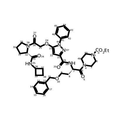 CCOC(=O)N1CCN(C(=O)[C@H](CCOCc2ccccc2)NC(=O)c2cc(OCC(=O)N3CCC[C@H]3C(=O)NC3CCC3)n(-c3ccccc3)n2)CC1